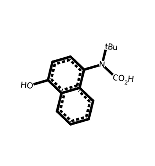 CC(C)(C)N(C(=O)O)c1ccc(O)c2ccccc12